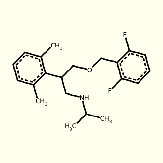 Cc1cccc(C)c1C(CNC(C)C)COCc1c(F)cccc1F